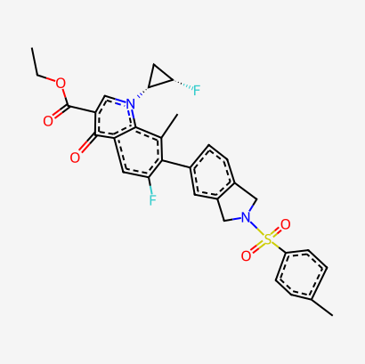 CCOC(=O)c1cn([C@@H]2C[C@@H]2F)c2c(C)c(-c3ccc4c(c3)CN(S(=O)(=O)c3ccc(C)cc3)C4)c(F)cc2c1=O